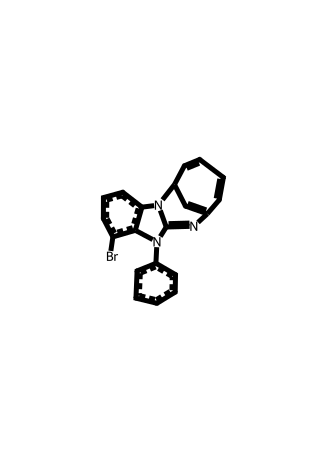 Brc1cccc2c1N(c1ccccc1)C1=NC3=CC(C=CC=C3)N12